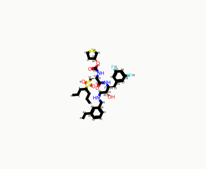 CCCC(CCC)S(=O)(=O)C[C@H](NC(=O)O[C@H]1CCSC1)C(=O)N[C@@H](Cc1cc(F)cc(F)c1)[C@H](O)CNCc1cccc(CC)c1